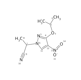 CC(C)Oc1nn(C(C)C#N)cc1[N+](=O)[O-]